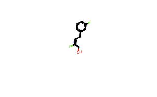 OC/C(F)=C\Cc1cccc(F)c1